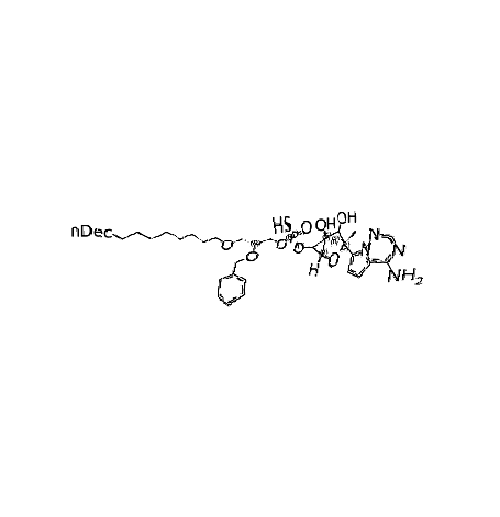 CCCCCCCCCCCCCCCCCCOC[C@H](CO[P@@](=O)(S)OC1[C@H]2O[C@@](C)(c3ccc4c(N)ncnn34)[C@H](O)[C@@]12O)OCc1ccccc1